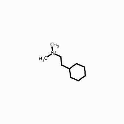 C[N+](C)CCC1CCCCC1